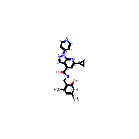 Cc1cc(C)c(CNC(=O)c2cc(C3CC3)nc3c2cnn3-c2ccncc2)c(=O)[nH]1